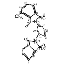 O=C1c2ccccc2C(=O)N1c1cccc(N2C(=O)c3cccc(Cl)c3C2=O)c1